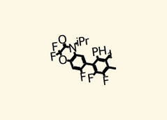 Cc1c(F)c(F)c(-c2cc3c(cc2F)OC(F)(F)C(=O)N3C(C)C)c(P)c1I